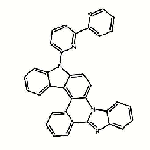 c1ccc(-c2cccc(-n3c4ccccc4c4c5c6ccccc6c6nc7ccccc7n6c5ccc43)n2)nc1